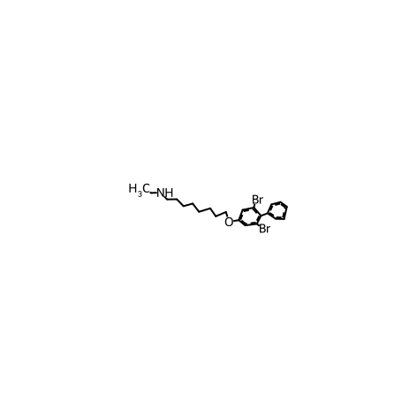 CCNCCCCCCCCOc1cc(Br)c(-c2ccccc2)c(Br)c1